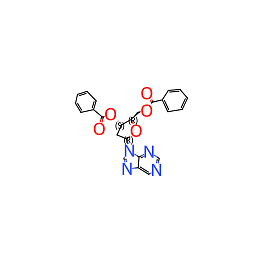 O=C(OC[C@H]1O[C@@H](n2cnc3cncnc32)C[C@@H]1OC(=O)c1ccccc1)c1ccccc1